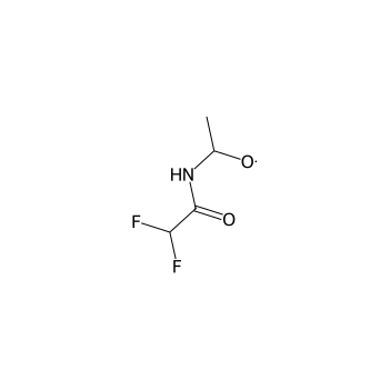 CC([O])NC(=O)C(F)F